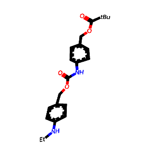 CCNc1ccc(COC(=O)Nc2ccc(COC(=O)C(C)(C)C)cc2)cc1